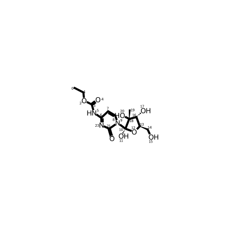 CCOC(=O)Nc1ccn([C@]2(O)O[C@H](CO)[C@@H](O)[C@@]2(C)O)c(=O)n1